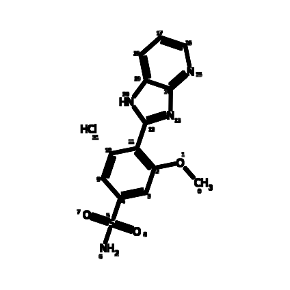 COc1cc(S(N)(=O)=O)ccc1-c1nc2ncccc2[nH]1.Cl